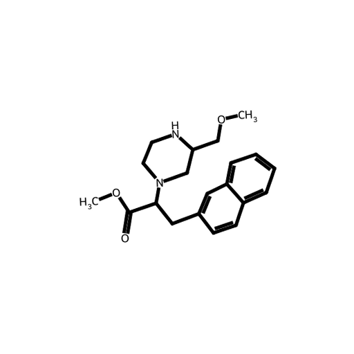 COCC1CN(C(Cc2ccc3ccccc3c2)C(=O)OC)CCN1